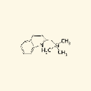 C[Si](C)(C)Cc1ccc2ccccc2n1